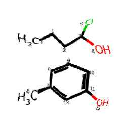 CCCC(O)Cl.Cc1cccc(O)c1